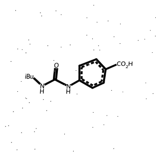 CCC(C)NC(=O)Nc1ccc(C(=O)O)cc1